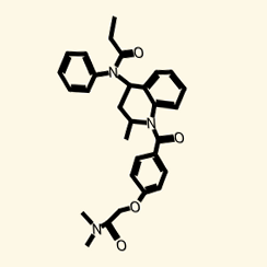 CCC(=O)N(c1ccccc1)C1CC(C)N(C(=O)c2ccc(OCC(=O)N(C)C)cc2)c2ccccc21